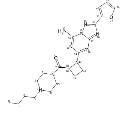 CCCCN1CCN(C(=O)[C@@H]2CCN2c2nc(N)n3nc(-c4ccco4)nc3n2)CC1